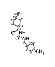 Cc1ccc(CNC(=O)NC(=O)c2ccc(C(C)C)cc2)cc1